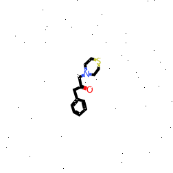 O=C(Cc1ccccc1)CN1CCSCC1